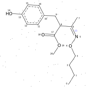 CCCCO/N=C(/C)C(Cc1ccc(O)cc1)C(=O)OC